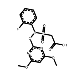 COc1cc(OC)nc(ON(c2ccccc2F)S(=O)(=O)CC(=O)O)n1